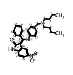 CCCCN(CCCC)Cc1ccc(NC(=C2C(=O)Nc3ccc([N+](=O)[O-])cc32)c2ccccc2)cc1